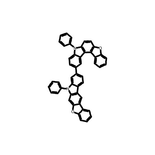 c1ccc(-n2c3cc(-c4ccc5c(c4)c4c6c(ccc4n5-c4ccccc4)oc4ccccc46)ccc3c3cc4c(cc32)oc2ccccc24)cc1